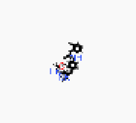 C=C(Cc1ccccc1C)Nc1ccc(Cc2cc(NC(C)=O)ncn2)cc1